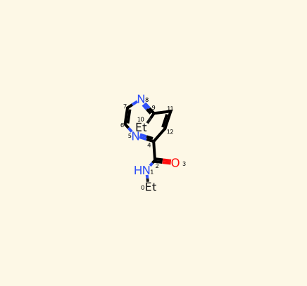 CCNC(=O)C1=NC=C/N=C(CC)/C=C\1